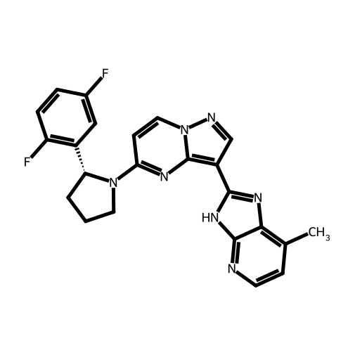 Cc1ccnc2[nH]c(-c3cnn4ccc(N5CCC[C@@H]5c5cc(F)ccc5F)nc34)nc12